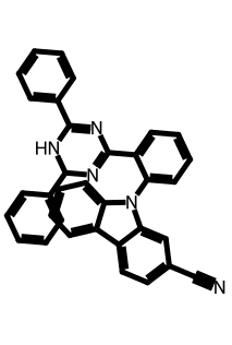 N#Cc1ccc2c3ccccc3n(-c3ccccc3C3=NC(c4ccccc4)NC(c4ccccc4)=N3)c2c1